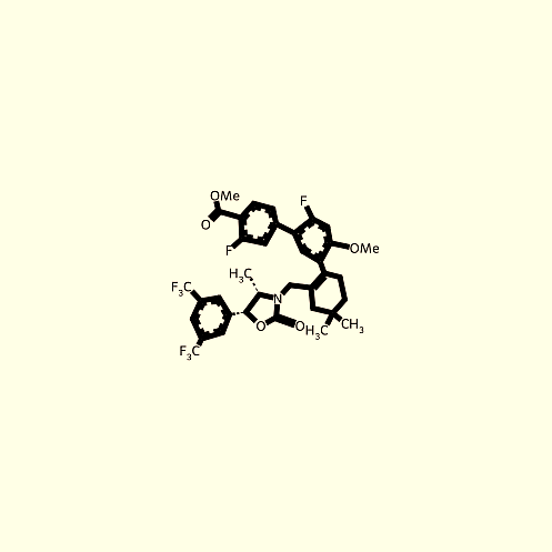 COC(=O)c1ccc(-c2cc(C3=C(CN4C(=O)O[C@H](c5cc(C(F)(F)F)cc(C(F)(F)F)c5)[C@@H]4C)CC(C)(C)CC3)c(OC)cc2F)cc1F